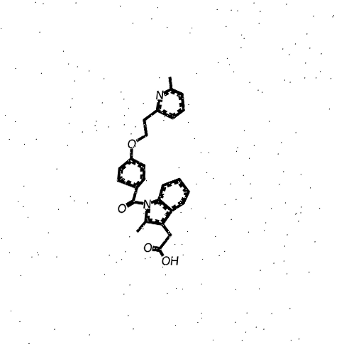 Cc1cccc(CCOc2ccc(C(=O)n3c(C)c(CC(=O)O)c4ccccc43)cc2)n1